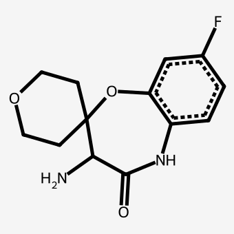 NC1C(=O)Nc2ccc(F)cc2OC12CCOCC2